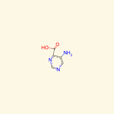 Nc1cncnc1C(=O)O